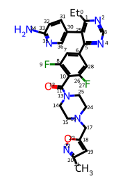 CCc1ncnc(-c2cc(F)c(C(=O)N3CCN(Cc4cc(C)no4)CC3)c(F)c2)c1-c1ccc(N)nc1